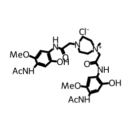 COc1cc(NC(=O)CN2CC[N+](C)(CC(=O)Nc3cc(OC)c(NC(C)=O)cc3O)CC2)c(O)cc1NC(C)=O.[Cl-]